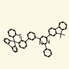 CC1(C)c2ccccc2-c2ccc(-c3cc(-c4cccc(-c5cccc6c5Sc5ccccc5C65c6ccccc6-c6ccccc65)c4)nc(-c4ccccc4)n3)cc21